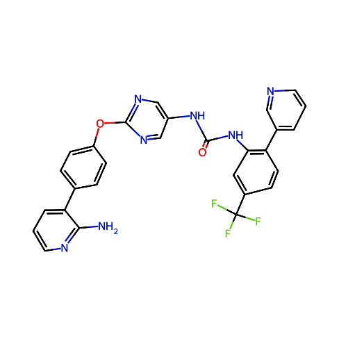 Nc1ncccc1-c1ccc(Oc2ncc(NC(=O)Nc3cc(C(F)(F)F)ccc3-c3cccnc3)cn2)cc1